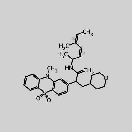 C=C(NC(C)/C=C\C(C)=C/C)C(CC1CCOCC1)c1ccc2c(c1)N(C)c1ccccc1S2(=O)=O